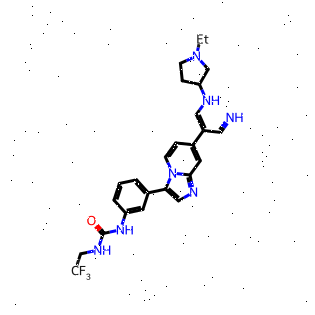 CCN1CCC(N/C=C(\C=N)c2ccn3c(-c4cccc(NC(=O)NCC(F)(F)F)c4)cnc3c2)C1